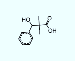 O=C(O)C(I)(I)C(O)c1ccccc1